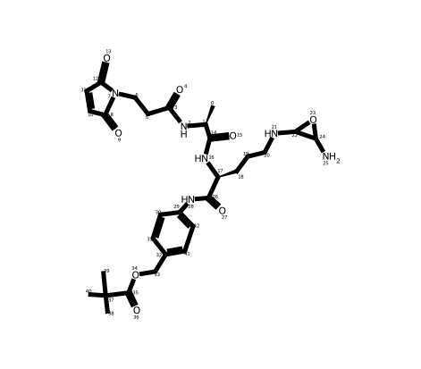 C[C@H](NC(=O)CCN1C(=O)C=CC1=O)C(=O)N[C@@H](CCCNC1OC1N)C(=O)Nc1ccc(COC(=O)C(C)(C)C)cc1